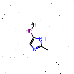 [3H]Pc1cnc(C)[nH]1